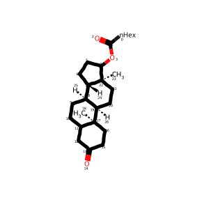 CCCCCCC(=O)OC1CC[C@H]2[C@@H]3CCC4CC(=O)CC[C@]4(C)[C@@H]3CC[C@]12C